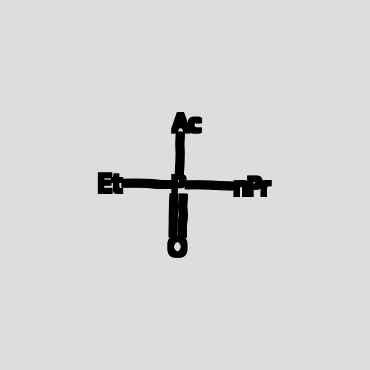 CCCP(=O)(CC)C(C)=O